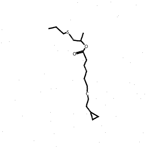 CCCSCC(C)OC(=O)CCCCCCCCC1CC1